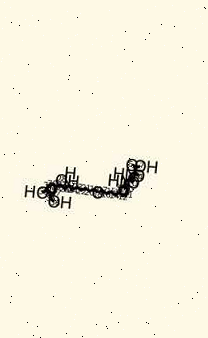 O=C(NC(=O)C(=O)O)Nc1cccc(CCCCOCCCCCCNC[C@@H](O)c2ccc(O)c(CO)c2)c1